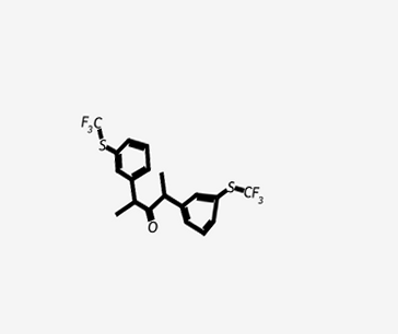 CC(C(=O)C(C)c1cccc(SC(F)(F)F)c1)c1cccc(SC(F)(F)F)c1